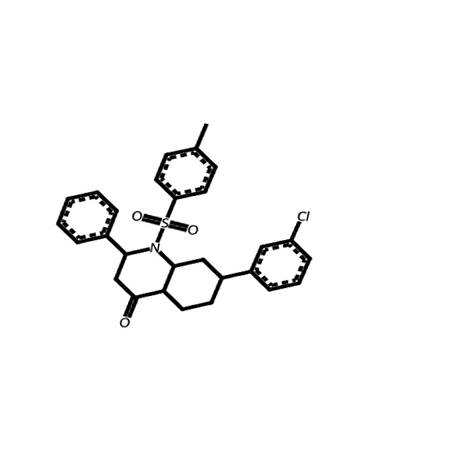 Cc1ccc(S(=O)(=O)N2C(c3ccccc3)CC(=O)C3CCC(c4cccc(Cl)c4)CC32)cc1